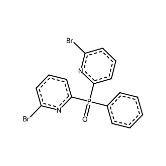 O=P(c1ccccc1)(c1cccc(Br)n1)c1cccc(Br)n1